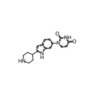 O=c1ccn(-c2ccc3cc(C4CCNCC4)[nH]c3c2)c(=O)[nH]1